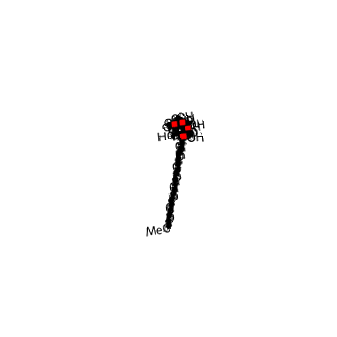 COCCOCCOCCOCCOCCOCCOCCOCCOCCOC1C(OO)C(OP(=O)(O)O)C(OP(=O)(O)O)C(OP(=O)(O)O)C1OP(=O)(O)O